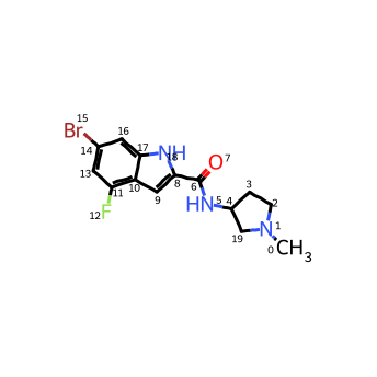 CN1CCC(NC(=O)c2cc3c(F)cc(Br)cc3[nH]2)C1